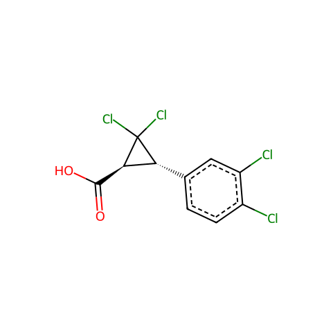 O=C(O)[C@@H]1[C@@H](c2ccc(Cl)c(Cl)c2)C1(Cl)Cl